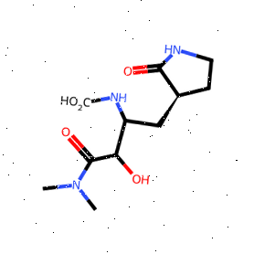 CN(C)C(=O)C(O)C(C[C@@H]1CCNC1=O)NC(=O)O